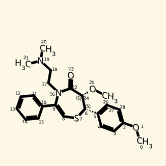 COc1ccc([C@@H]2SC=C(c3ccccc3)N(CCN(C)C)C(=O)[C@@H]2OC)cc1